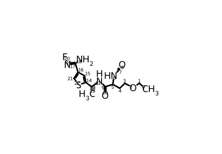 CCOCCC(NC=O)C(=O)N[C@H](C)c1cc(C(N)=NF)cs1